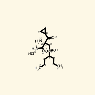 CCCC(CCC)S(=O)(=O)C[C@@](N)(C(N)=O)C(=O)C1CC1.Cl